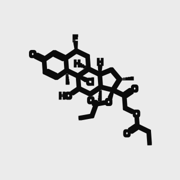 CCC(=O)OCC(=O)[C@@]1(OC(=O)CC)[C@@H](C)C[C@H]2[C@@H]3C[C@H](F)C4=CC(=O)C=C[C@]4(C)[C@@]3(Cl)C(O)C[C@@]21C